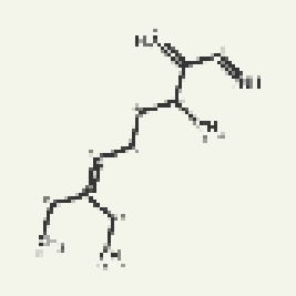 C=C(C=N)C(C)CCC=C(CC)CC